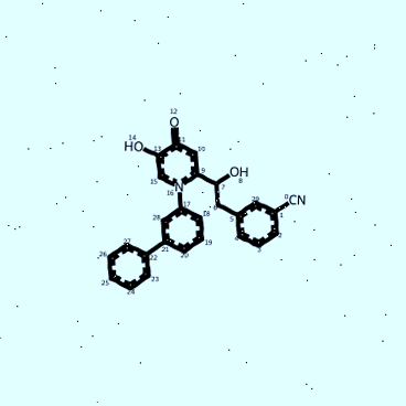 N#Cc1cccc(CC(O)c2cc(=O)c(O)cn2-c2cccc(-c3ccccc3)c2)c1